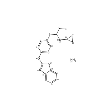 CCC(Cc1ccc(Oc2nc3ccccc3s2)cc1)NC1CC1.N